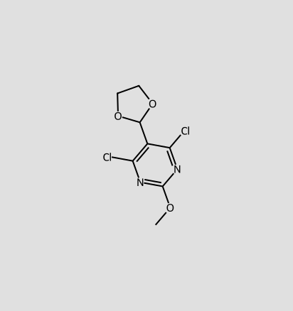 COc1nc(Cl)c(C2OCCO2)c(Cl)n1